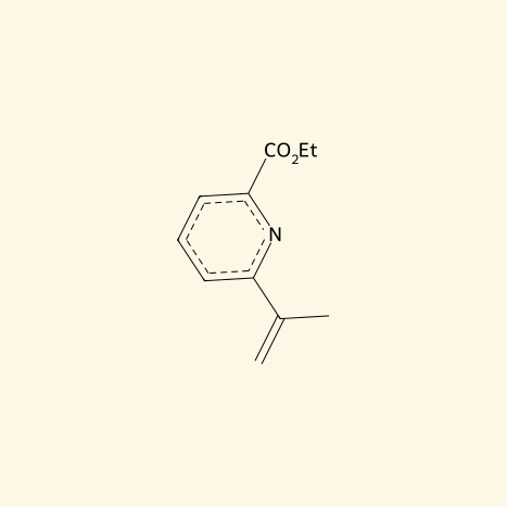 C=C(C)c1cccc(C(=O)OCC)n1